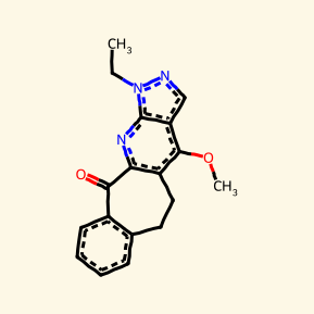 CCn1ncc2c(OC)c3c(nc21)C(=O)c1ccccc1CC3